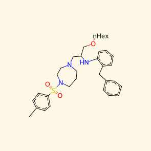 CCCCCCOCC(CN1CCCN(S(=O)(=O)c2ccc(C)cc2)CC1)Nc1ccccc1Cc1ccccc1